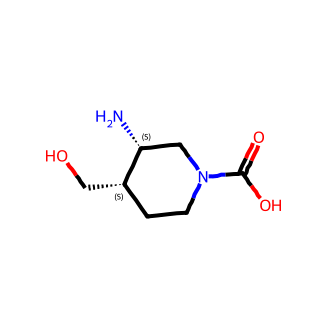 N[C@@H]1CN(C(=O)O)CC[C@@H]1CO